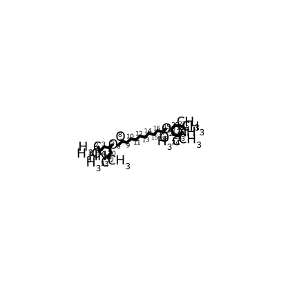 CC1(C)CC(OCC(=O)CCCCCCCCC(=O)OC2CC(C)(C)NC(C)(C)C2)CC(C)(C)N1